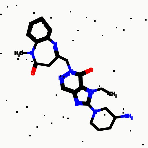 CCn1c(N2CCCC(N)C2)nc2cnn(CC3=Nc4ccccc4N(C)C(=O)C3)c(=O)c21